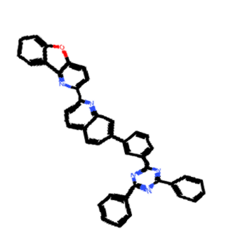 c1ccc(-c2nc(-c3ccccc3)nc(-c3cccc(-c4ccc5ccc(-c6ccc7oc8ccccc8c7n6)nc5c4)c3)n2)cc1